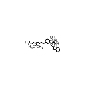 CCCN(CCCCc1ccc(OC)c(N(Cc2cc3ccccc3o2)C(=N)N)c1)C(C)C